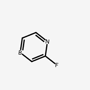 Fc1cbccn1